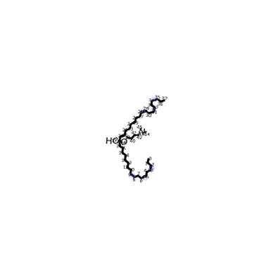 CC/C=C\C/C=C\C/C=C\CCCCCCCCC(O)(CCCCCCCC/C=C\C/C=C\C/C=C\CC)OCCCCN(C)C